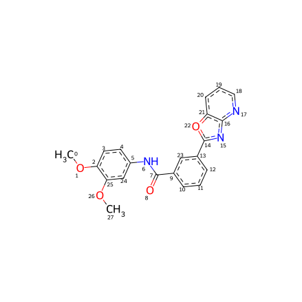 COc1ccc(NC(=O)c2cccc(-c3nc4ncccc4o3)c2)cc1OC